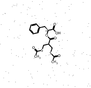 CC(=O)SCC(CSC(C)=O)C(=O)O[C@@H](Cc1ccccc1)C(=O)O